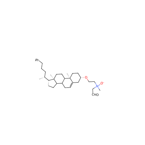 CC(C)CCC[C@@H](C)[C@H]1CCC2C3CC=C4C[C@@H](OCC[N+](C)([O-])CC=O)CC[C@]4(C)C3CC[C@@]21C